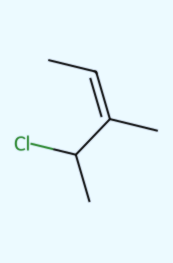 CC=C(C)C(C)Cl